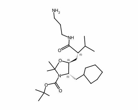 CC(C)[C@H](C[C@@H]1OC(C)(C)N(C(=O)OC(C)(C)C)[C@H]1CC1CCCCC1)C(=O)NCCCN